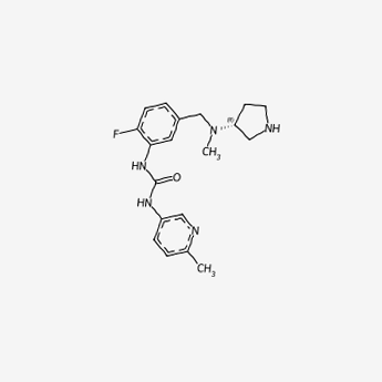 Cc1ccc(NC(=O)Nc2cc(CN(C)[C@@H]3CCNC3)ccc2F)cn1